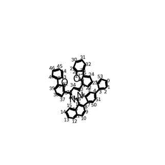 c1ccc(-c2ccc(-c3ccc4ccccc4c3-c3nc(-c4cccc5c4oc4ccccc45)cc(-c4cccc5c4oc4ccccc45)n3)cc2)cc1